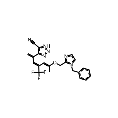 C=C(/C=C(\C=C(/C)OCc1nccn1Cc1ccccc1)C(F)(F)F)c1nn[nH]c1C#N